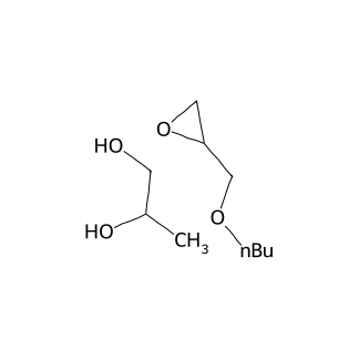 CC(O)CO.CCCCOCC1CO1